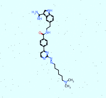 CN(C)CCCCCCN=Nc1nccc(-c2ccc(C(=O)NCCc3ccc4[nH]cc(C(=N)N)c4c3)cc2)n1